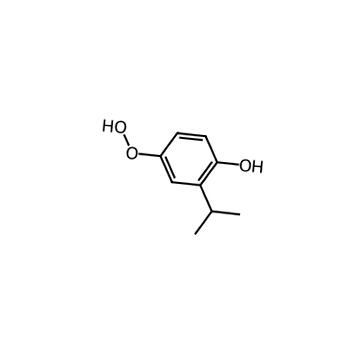 CC(C)c1cc(OO)ccc1O